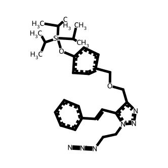 CC(C)[Si](Oc1ccc(COCc2nnn(CCN=[N+]=[N-])c2C=Cc2ccccc2)cc1)(C(C)C)C(C)C